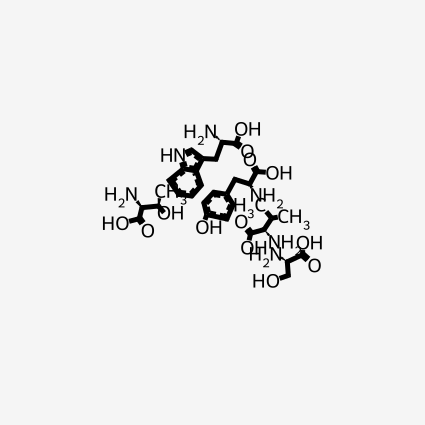 CC(C)[C@H](N)C(=O)O.C[C@@H](O)[C@H](N)C(=O)O.N[C@@H](CO)C(=O)O.N[C@@H](Cc1c[nH]c2ccccc12)C(=O)O.N[C@@H](Cc1ccc(O)cc1)C(=O)O